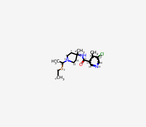 CCSC(C)N1CCC(C)(NC(=O)c2cncc(Cl)c2C)CC1